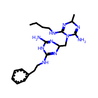 CCCCNC1=NC(C)N=C(N)N1CC1N=C(N)NC(NCCc2ccccc2)=N1